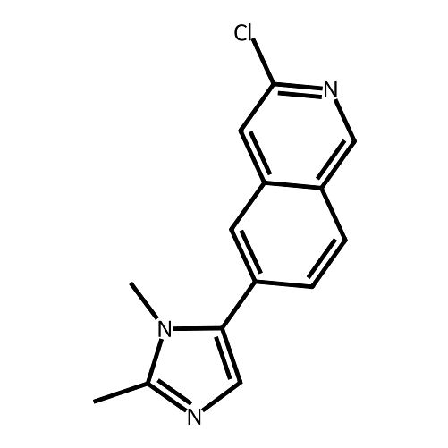 Cc1ncc(-c2ccc3cnc(Cl)cc3c2)n1C